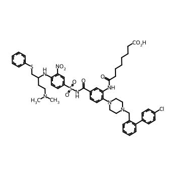 CN(C)CCC(CSc1ccccc1)Nc1ccc(S(=O)(=O)NC(=O)c2ccc(N3CCN(Cc4ccccc4-c4ccc(Cl)cc4)CC3)c(NC(=O)CCCCCCC(=O)O)c2)cc1[N+](=O)[O-]